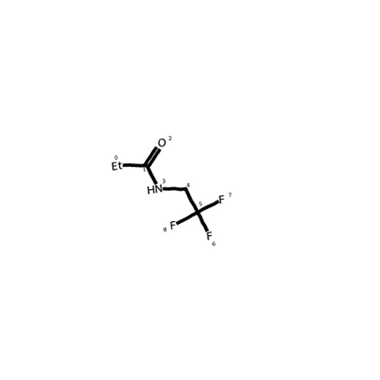 CCC(=O)NCC(F)(F)F